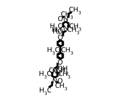 CCCCN(C(C)=O)C1CC(C)(C)N(CC(O)COc2ccc(C(C)(C)c3ccc(OCC(O)CN4C(C)(C)CC(N(CCCC)C(C)=O)CC4(C)C)cc3)cc2)C(C)(C)C1